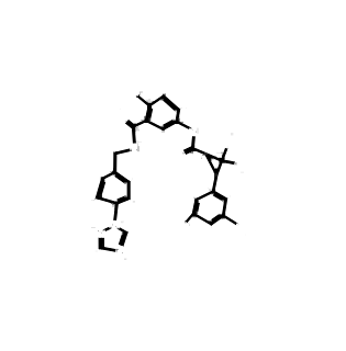 Cc1cc(Cl)cc(C2C(C(=O)Nc3ccc(Cl)c(C(=O)NCc4ccc(-n5cncn5)cc4)c3)C2(Cl)Cl)c1